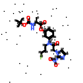 C[C@H](NC(=O)OC(C)(C)C)C(=O)Oc1cccc(N(CCCF)C(=O)Cn2ccnc2[N+](=O)[O-])c1